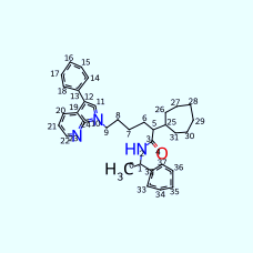 CC(NC(=O)C(CCCCn1cc(-c2ccccc2)c2cccnc21)C1CCCCCC1)c1ccccc1